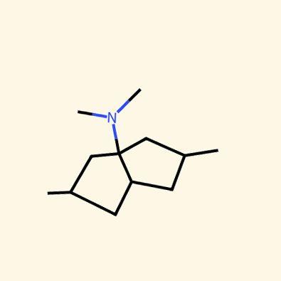 CC1CC2CC(C)CC2(N(C)C)C1